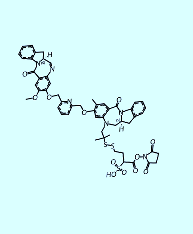 COc1cc2c(cc1OCc1cccc(COc3cc4c(cc3C)C(=O)N3c5ccccc5C[C@H]3CN4CC(C)(C)SSCCC(C(=O)ON3C(=O)CCC3=O)S(=O)(=O)O)n1)N=C[C@@H]1Cc3ccccc3N1C2=O